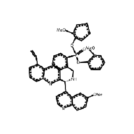 C=Cc1cccc2nc([C@H](NCc3ccccc3P(=O)(Oc3ccccc3OC)Oc3ccccc3OC)c3ccnc4ccc(OC)cc34)ccc12